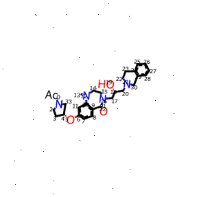 CC(=O)N1CC[C@@H](Oc2ccc3c(c2)N(C)CCN(C[C@H](O)CN2CCc4ccccc4C2)C3=O)C1